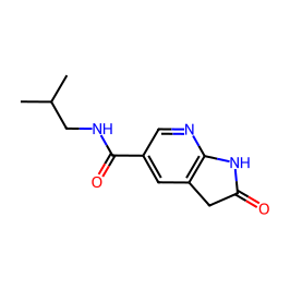 CC(C)CNC(=O)c1cnc2c(c1)CC(=O)N2